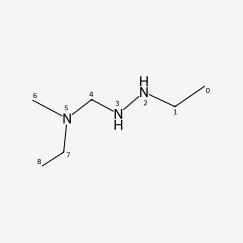 CCNNCN(C)CC